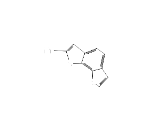 CC(C)c1cc2ccc3ccsc3c2s1